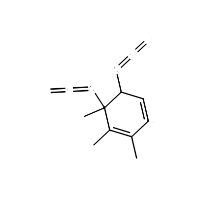 CC1=C(C)C(C)(N=C=O)C(N=C=O)C=C1